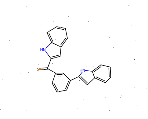 S=C(c1cccc(-c2cc3ccccc3[nH]2)c1)c1cc2ccccc2[nH]1